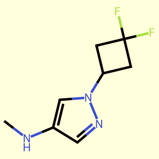 CNc1cnn(C2CC(F)(F)C2)c1